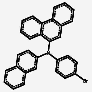 Brc1ccc(N(c2ccc3ccccc3c2)c2cc3ccccc3c3ccccc23)cc1